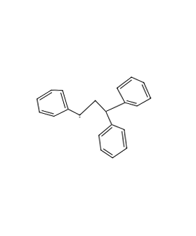 [CH](CC(c1ccccc1)c1ccccc1)c1ccccc1